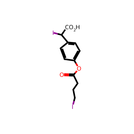 O=C(CCCI)Oc1ccc(C(I)C(=O)O)cc1